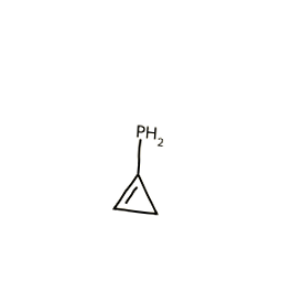 PC1=CC1